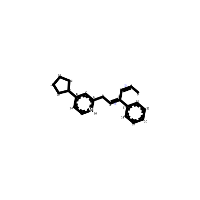 C/C=C\C(=C/Cc1cc(C2CCCC2)ccn1)c1ccccc1